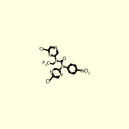 O=C(N(CC(F)(F)F)c1cncc(Cl)n1)N(c1ccc([N+](=O)[O-])cc1)c1cnc(Cl)cn1